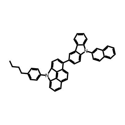 CCCCc1ccc(-n2c3cccc4ccc5c(-c6ccc7c(c6)c6ccccc6n7-c6ccc7ccccc7c6)ccc2c5c43)cc1